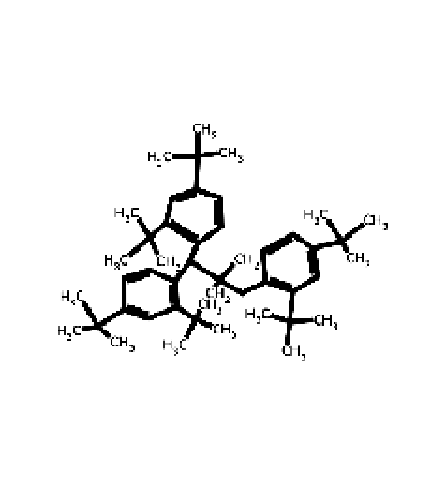 [CH2]C([CH2])([CH]c1ccc(C(C)(C)C)cc1C(C)(C)C)[C](c1ccc(C(C)(C)C)cc1C(C)(C)C)c1ccc(C(C)(C)C)cc1C(C)(C)C